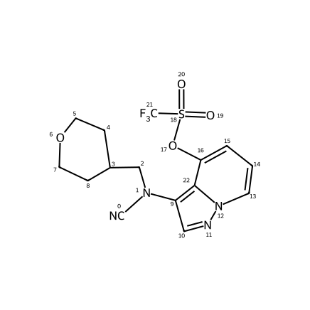 N#CN(CC1CCOCC1)c1cnn2cccc(OS(=O)(=O)C(F)(F)F)c12